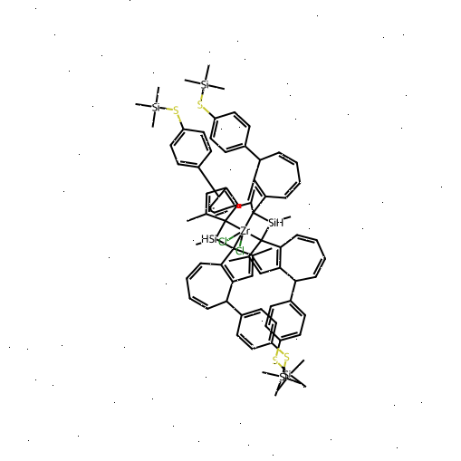 CC1=CC2=C(C=CC=CC2c2ccc(S[Si](C)(C)C)cc2)[C]12[SiH](C)[C]1(C(C)=CC3=C1C=CC=CC3c1ccc(S[Si](C)(C)C)cc1)[Zr]21([Cl])([Cl])[C]2(C(C)=CC3=C2C=CC=CC3c2ccc(S[Si](C)(C)C)cc2)[SiH](C)[C]12C(C)=CC1=C2C=CC=CC1c1ccc(S[Si](C)(C)C)cc1